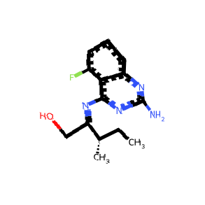 CC[C@H](C)/C(CO)=N\c1nc(N)nc2cccc(F)c12